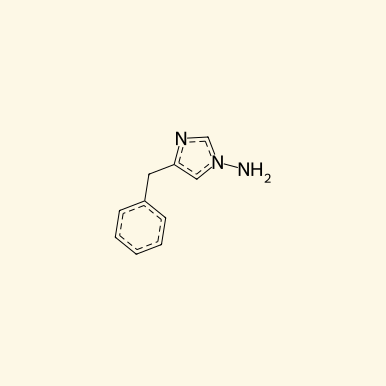 Nn1cnc(Cc2ccccc2)c1